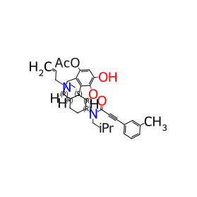 C=CCN1CC[C@]23c4c5c(OC(C)=O)cc(O)c4O[C@H]2[C@H](N(CC(C)C)C(=O)C#Cc2cccc(C)c2)CC[C@H]3[C@H]1C5